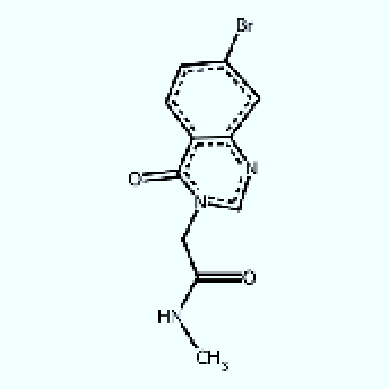 CNC(=O)Cn1cnc2cc(Br)ccc2c1=O